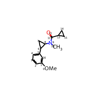 COc1cccc(C2CC2N(C)C(=O)C2CC2)c1